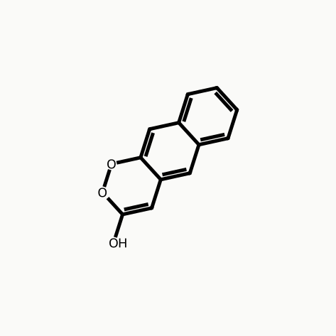 OC1=Cc2cc3ccccc3cc2OO1